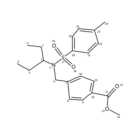 CCC(CC)N(Cc1ccc(C(=O)OC)cc1)S(=O)(=O)c1ccc(C)cc1